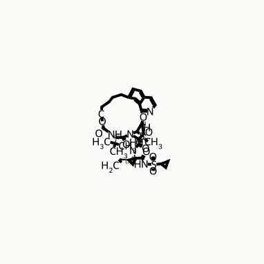 C=C[C@@H]1C[C@]1(NC(=O)[C@@H]1C[C@H]2Oc3nccc4ccc(cc34)CCCCCOC(=O)N[C@@H](C(C)(C)C)C(=O)N1C2S(C)(=O)=O)C(=O)NS(=O)(=O)C1CC1